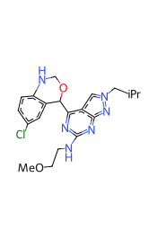 COCCNc1nc(C2OCNc3ccc(Cl)cc32)c2cn(CC(C)C)nc2n1